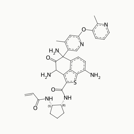 C=CC(=O)N[C@H]1CCC[C@H]1NC(=O)c1sc2c(N)ccc3c2c1C(N)C(=O)C3(N)c1cnc(Oc2cccnc2C)cc1C